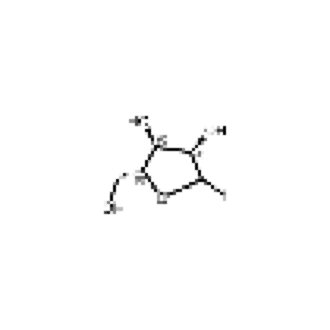 OC[C@H]1O[C](I)[C@H](O)[C@@H]1O